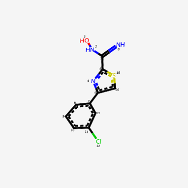 N=C(NO)c1nc(-c2cccc(Cl)c2)cs1